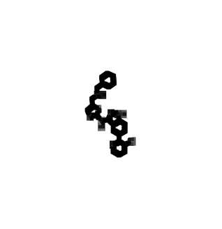 Clc1cccnc1-c1ccc2[nH]nc(Nc3ncc(CNCc4ccccc4)s3)c2c1